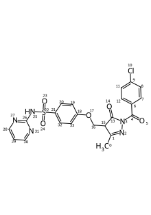 CC1=NN(C(=O)c2ccc(Cl)cc2)C(=O)C1COc1ccc(S(=O)(=O)Nc2ncccn2)cc1